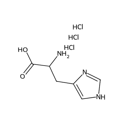 Cl.Cl.Cl.NC(Cc1c[nH]cn1)C(=O)O